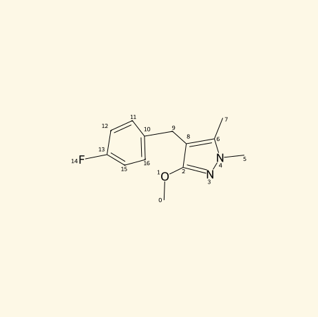 COc1nn(C)c(C)c1Cc1ccc(F)cc1